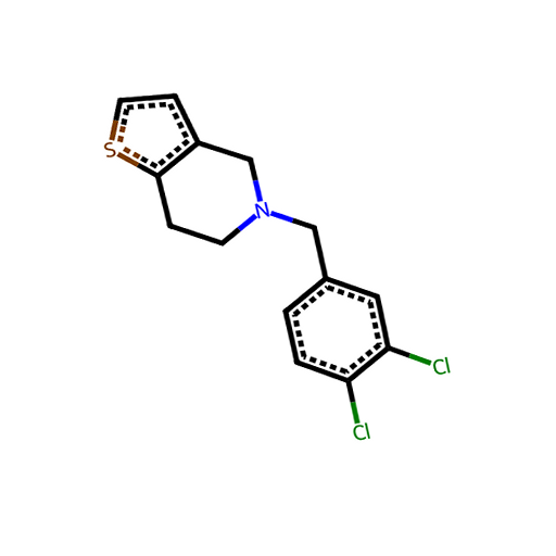 Clc1ccc(CN2CCc3sccc3C2)cc1Cl